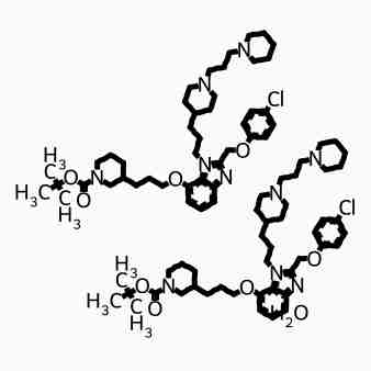 CC(C)(C)OC(=O)N1CCCC(CCCOc2cccc3nc(COc4ccc(Cl)cc4)n(CCCC4CCN(CCCN5CCCCC5)CC4)c23)C1.CC(C)(C)OC(=O)N1CCCC(CCCOc2cccc3nc(COc4ccc(Cl)cc4)n(CCCC4CCN(CCCN5CCCCC5)CC4)c23)C1.O